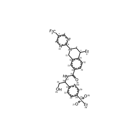 CCC1CN(c2ncc(C(F)(F)F)cn2)Cc2cc(C(=O)NC(CO)c3ccc(S(=O)(=O)CC)cn3)ccc21